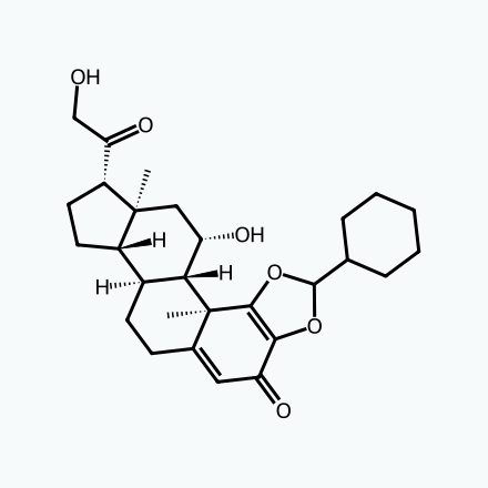 C[C@@]12C(=CC(=O)C3=C1OC(C1CCCCC1)O3)CC[C@@H]1[C@@H]2[C@@H](O)C[C@]2(C)[C@@H](C(=O)CO)CC[C@@H]12